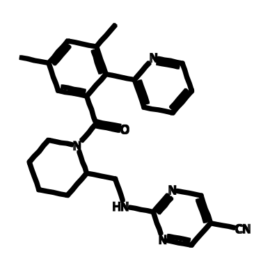 Cc1cc(C)c(-c2ccccn2)c(C(=O)N2CCCCC2CNc2ncc(C#N)cn2)c1